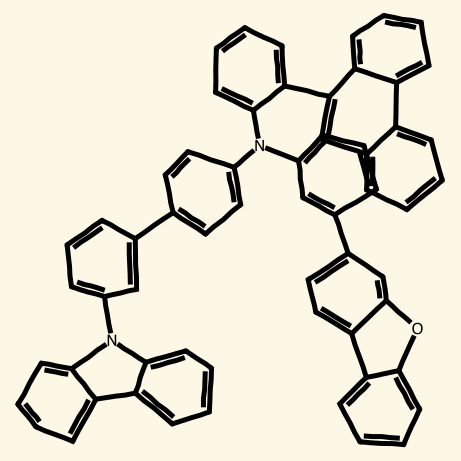 c1cc(-c2ccc3c(c2)oc2ccccc23)cc(N(c2ccc(-c3cccc(-n4c5ccccc5c5ccccc54)c3)cc2)c2ccccc2-c2cc3ccccc3c3ccccc23)c1